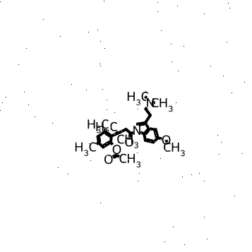 COc1ccc2c(c1)c(CCN(C)C)cn2C(=O)CC(C)(C)c1c(C)cc(C)cc1OC(C)=O